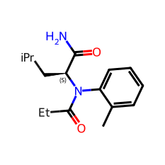 CCC(=O)N(c1ccccc1C)[C@@H](CC(C)C)C(N)=O